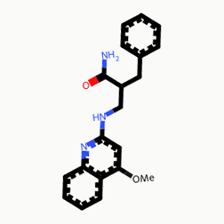 COc1cc(NCC(Cc2ccccc2)C(N)=O)nc2ccccc12